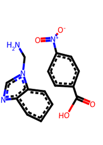 NCn1cnc2ccccc21.O=C(O)c1ccc([N+](=O)[O-])cc1